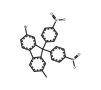 Cc1ccc2c(c1)C(c1ccc([N+](=O)[O-])cc1)(c1ccc([N+](=O)[O-])cc1)c1cc(Br)ccc1-2